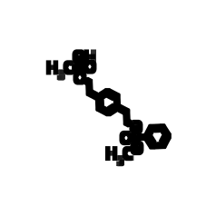 COP(=O)(OCCc1ccc(CCOP(C)(=O)O)cc1)c1ccccc1